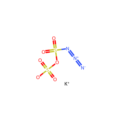 [K+].[N-]=[N+]=NS(=O)(=O)OS(=O)(=O)[O-]